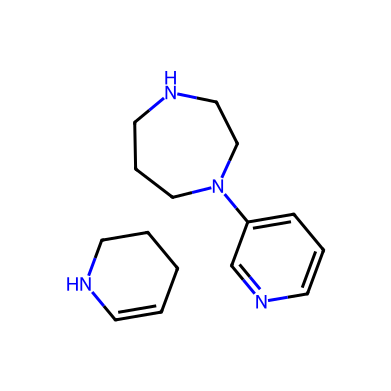 C1=CNCCC1.c1cncc(N2CCCNCC2)c1